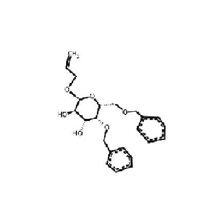 C=CCO[C@H]1O[C@H](COCc2ccccc2)[C@H](OCc2ccccc2)[C@H](O)[C@H]1O